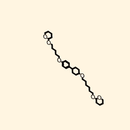 c1cc(C2CCC(OCCCCCCOC3CCCCO3)CC2)ccc1OCCCCCOC1CCCCO1